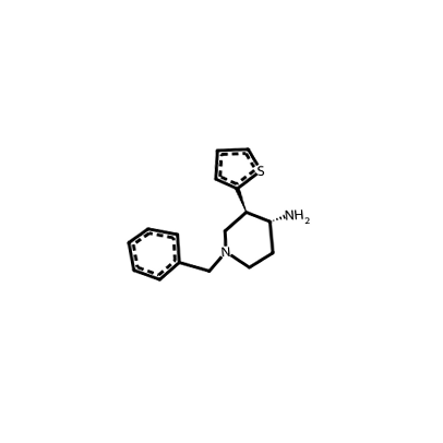 N[C@@H]1CCN(Cc2ccccc2)C[C@H]1c1cccs1